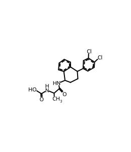 CC(NC(=O)O)C(=O)NC1CCC(c2ccc(Cl)c(Cl)c2)c2ccccc21